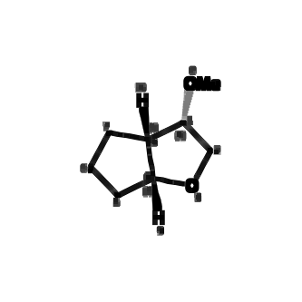 CO[C@@H]1CO[C@@H]2C[CH]C[C@H]12